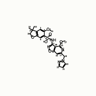 COc1cc2c(cc1S(=O)(=O)Nc1noc3cc(Cn4cccn4)nc(OC)c13)OCC2(C)C